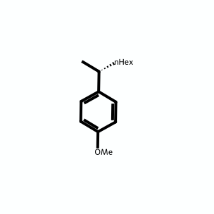 CCCCCC[C@@H](C)c1ccc(OC)cc1